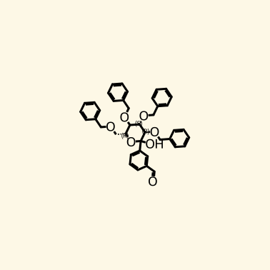 O=Cc1cccc(C2(O)O[C@H](COCc3ccccc3)C(OCc3ccccc3)[C@H](OCc3ccccc3)[C@H]2OCc2ccccc2)c1